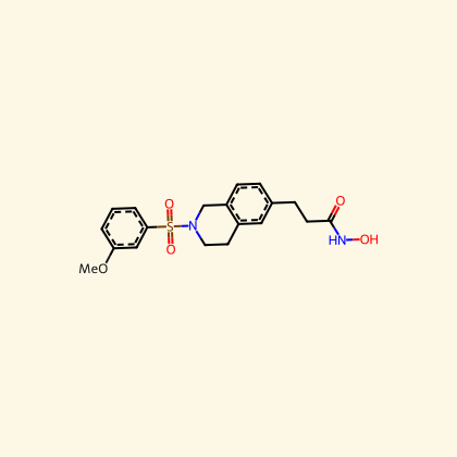 COc1cccc(S(=O)(=O)N2CCc3cc(CCC(=O)NO)ccc3C2)c1